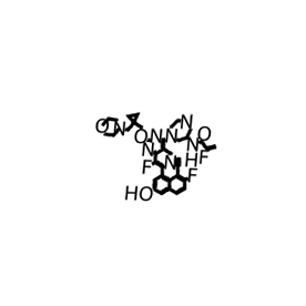 C#Cc1c(F)ccc2cc(O)cc(-c3ncc4c(N5CCN(C)C[C@H](NC(=O)C(=C)F)C5)nc(OCC5(CN6CCOCC6)CC5)nc4c3F)c12